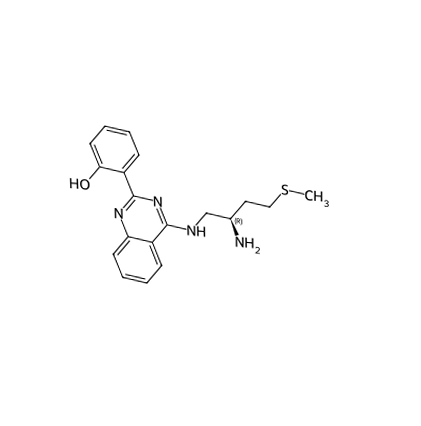 CSCC[C@@H](N)CNc1nc(-c2ccccc2O)nc2ccccc12